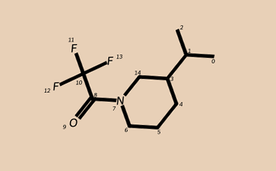 CC(C)C1CCCN(C(=O)C(F)(F)F)C1